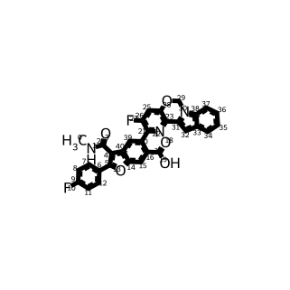 CNC(=O)c1c(-c2ccc(F)cc2)oc2cc(C(=O)O)c(-c3nc4c(cc3F)OCn3c-4cc4ccccc43)cc12